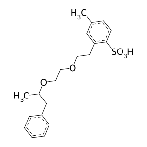 Cc1ccc(S(=O)(=O)O)c(CCOCCOC(C)Cc2ccccc2)c1